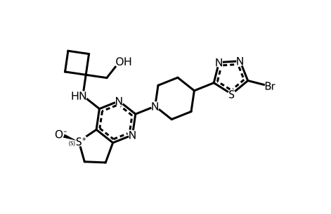 [O-][S@+]1CCc2nc(N3CCC(c4nnc(Br)s4)CC3)nc(NC3(CO)CCC3)c21